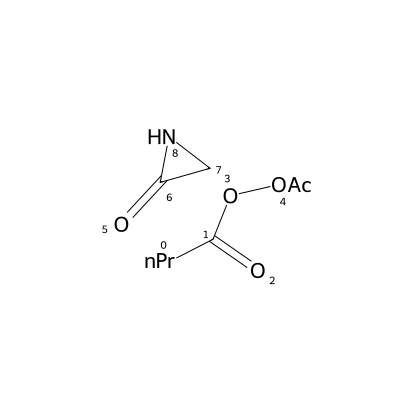 CCCC(=O)OOC(C)=O.O=C1CN1